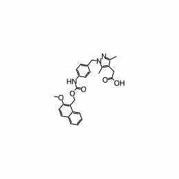 COc1ccc2ccccc2c1COC(=O)Nc1ccc(Cn2nc(C)c(CC(=O)O)c2C)cc1